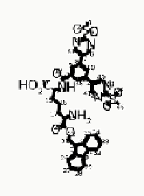 CS(=O)(=O)c1ncc(-c2cc(C(=O)N[C@@H](CCCC(N)C(=O)OCC3c4ccccc4-c4ccccc43)C(=O)O)cc(-c3cnc(S(C)(=O)=O)nc3)c2)cn1